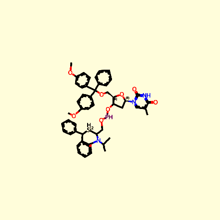 COc1ccc(C(OC[C@H]2O[C@@H](n3cc(C)c(=O)[nH]c3=O)CC2OPOCC([SiH2]C(c2ccccc2)c2ccccc2)N(C(C)C)C(C)C)(c2ccccc2)c2ccc(OC)cc2)cc1